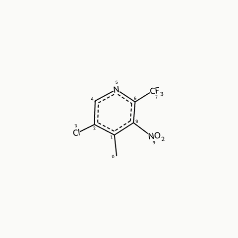 Cc1c(Cl)cnc(C(F)(F)F)c1[N+](=O)[O-]